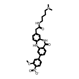 COc1cc(-c2ccc3c(c2)Nc2ccc(CC(=O)NCCCCN(C)C)cc2NC3=O)ccc1[N+](=O)[O-]